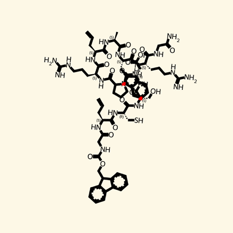 C=CC[C@H](NC(=O)CNC(=O)OCC1c2ccccc2-c2ccccc21)C(=O)N[C@@H](CS)C(=O)N[C@@H](CO)C(=O)N[C@@H](CC(=O)O)C(=O)N1CCCC1C(=O)N[C@@H](CCCNC(=N)N)C(=O)N[C@@H](CC=C)C(=O)N[C@@H](C)C(=O)N[C@@H](Cc1cc2ccccc2[nH]1)C(=O)N[C@@H](CCCNC(=N)N)C(=O)NCC(N)=O